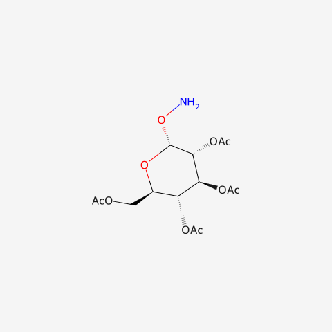 CC(=O)OC[C@H]1O[C@H](ON)[C@H](OC(C)=O)[C@@H](OC(C)=O)[C@@H]1OC(C)=O